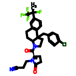 CC(F)(c1ccc2c(c1)CCC1N(C(=O)[C@@H]3CCC(=O)N3CCC#N)CCC21Cc1ccc(Cl)cc1)C(F)(F)F